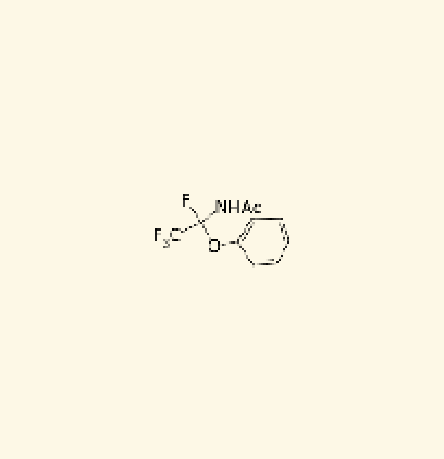 CC(=O)NC(F)(Oc1ccccc1)C(F)(F)F